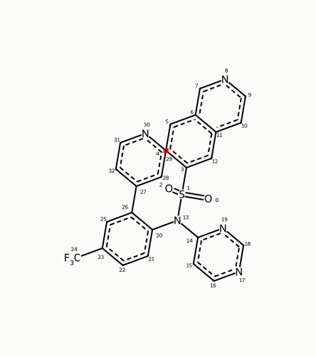 O=S(=O)(c1ccc2cnccc2c1)N(c1ccncn1)c1ccc(C(F)(F)F)cc1-c1ccncc1